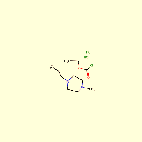 CCCN1CCN(C)CC1.CCOC(=O)Cl.Cl.Cl